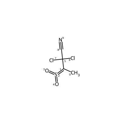 CC(=S(=O)=O)C(Cl)(Cl)C#N